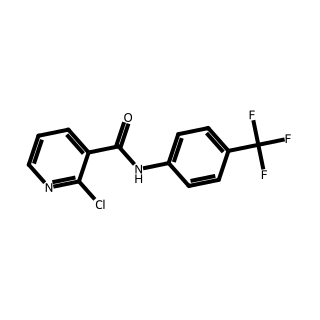 O=C(Nc1ccc(C(F)(F)F)cc1)c1cccnc1Cl